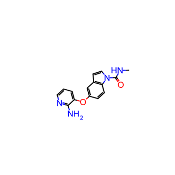 CNC(=O)n1ccc2cc(Oc3cccnc3N)ccc21